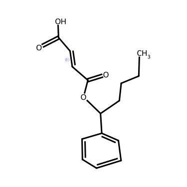 CCCCC(OC(=O)/C=C/C(=O)O)c1ccccc1